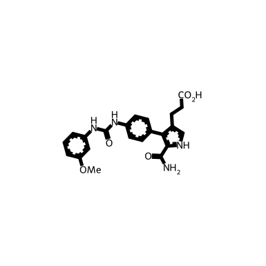 COc1cccc(NC(=O)Nc2ccc(-c3c(CCC(=O)O)c[nH]c3C(N)=O)cc2)c1